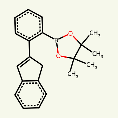 CC1(C)OB(c2ccccc2C2=Cc3ccccc3C2)OC1(C)C